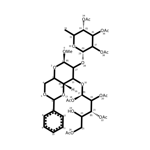 CO[C@@H]1OC2COC(c3ccccc3)O[C@H]2C(O[C@H](OC(C)=O)C(OC(C)=O)[C@H](OC(C)=O)C(O)COC(C)=O)C1O[C@@H]1OC(C)[C@H](OC(C)=O)C(OC(C)=O)C1OC(C)=O